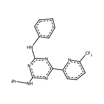 CC(C)Nc1nc(Nc2ccccc2)nc(-c2cccc(C(F)(F)F)n2)n1